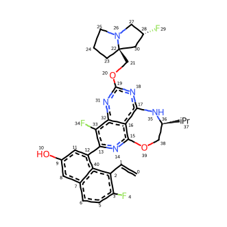 C=Cc1c(F)ccc2cc(O)cc(-c3nc4c5c(nc(OC[C@@]67CCCN6C[C@H](F)C7)nc5c3F)N[C@@H](C(C)C)CO4)c12